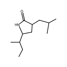 CCC(C)C1CC(CC(C)C)C(=O)N1